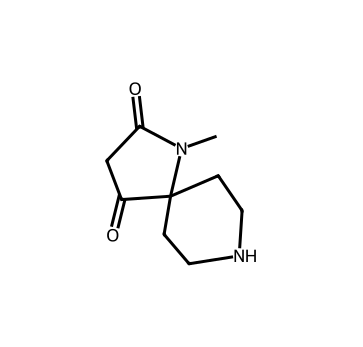 CN1C(=O)CC(=O)C12CCNCC2